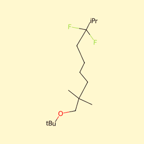 CC(C)C(F)(F)CCCCC(C)(C)COC(C)(C)C